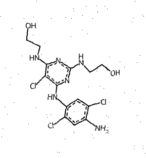 Nc1cc(Cl)c(Nc2nc(NCCO)nc(NCCO)c2Cl)cc1Cl